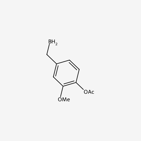 BCc1ccc(OC(C)=O)c(OC)c1